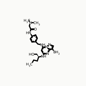 Bc1cnn2c(NCc3ccc(NC(=O)CN(C)C)cc3)cc(N[C@H](CO)CCC)nc12